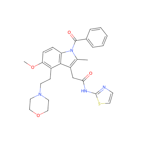 COc1ccc2c(c1CCN1CCOCC1)c(CC(=O)Nc1nccs1)c(C)n2C(=O)c1ccccc1